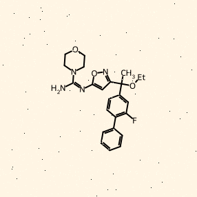 CCOC(C)(c1ccc(-c2ccccc2)c(F)c1)c1cc(/N=C(/N)N2CCOCC2)on1